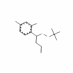 CCCC(NSC(C)(C)C)c1ccc(Cl)cc1F